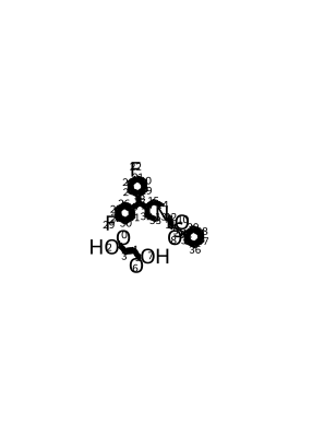 O=C(O)C=CC(=O)O.O=S(=O)(CCN1CCC(C(c2ccc(F)cc2)c2ccc(F)cc2)CC1)c1ccccc1